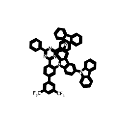 FC(F)(F)c1cc(-c2ccc(-c3nc(-c4ccccc4)nc(-c4ccccc4)n3)c(-n3c4ccc(-n5c6ccccc6c6ccccc65)cc4c4cc(-n5c6ccccc6c6ccccc65)ccc43)c2)cc(C(F)(F)F)c1